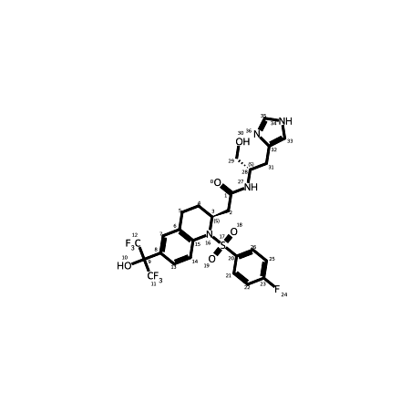 O=C(C[C@@H]1CCc2cc(C(O)(C(F)(F)F)C(F)(F)F)ccc2N1S(=O)(=O)c1ccc(F)cc1)N[C@H](CO)Cc1c[nH]cn1